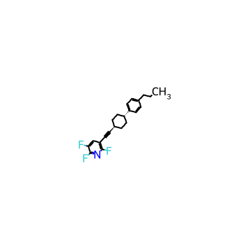 CCCc1ccc([C@H]2CC[C@H](C#Cc3cc(F)c(F)nc3F)CC2)cc1